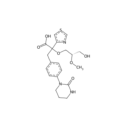 CO[C@@H](CO)COC(Cc1ccc(N2CCCNC2=O)cc1)(C(=O)O)c1cscn1